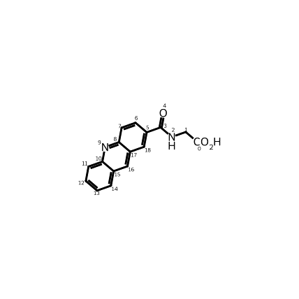 O=C(O)CNC(=O)c1ccc2nc3ccccc3cc2c1